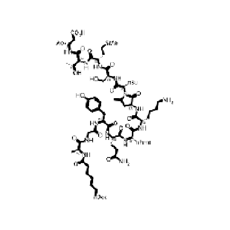 CCCCCCCCCCCCCCCC(=O)N[C@@H](C)C(=O)NCC(=O)N[C@@H](Cc1ccc(O)cc1)C(=O)N[C@@H](CCC(N)=O)C(=O)N[C@@H](CCCCC)C(=O)N[C@@H](CCCCN)C(=O)N[C@H]1CC(C)N([C@@H](CCCC)C(=O)N[C@@H](CO)C(=O)N[C@@H](CCSC)C(=O)N[C@H](C(=O)N[C@@H](CC(=O)O)C(C)=O)[C@@H](C)O)C1=O